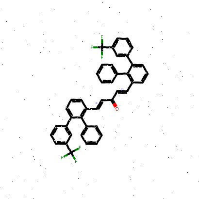 O=C(/C=C/c1cccc(-c2cccc(C(F)(F)F)c2)c1-c1ccccc1)/C=C/c1cccc(-c2cccc(C(F)(F)F)c2)c1-c1ccccc1